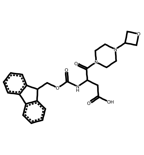 O=C(O)CC(NC(=O)OCC1c2ccccc2-c2ccccc21)C(=O)N1CCN(C2COC2)CC1